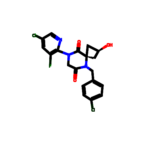 O=C1CN(c2ncc(Cl)cc2F)C(=O)[C@]2(C[C@H](O)C2)N1Cc1ccc(Cl)cc1